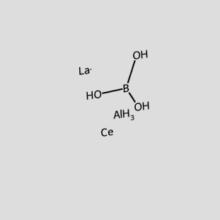 OB(O)O.[AlH3].[Ce].[La]